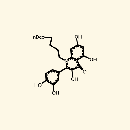 CCCCCCCCCCCCCCn1c(-c2ccc(O)c(O)c2)c(O)c(=O)c2c(O)cc(O)cc21